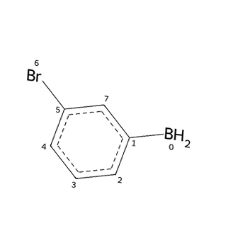 Bc1cccc(Br)c1